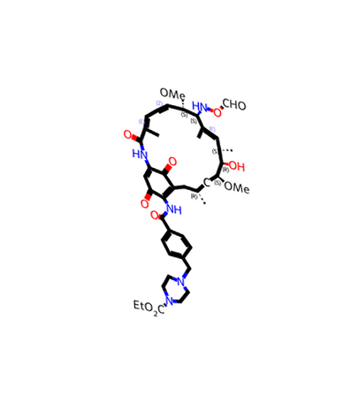 CCOC(=O)N1CCN(Cc2ccc(C(=O)NC3=C4C[C@@H](C)C[C@H](OC)[C@H](O)[C@@H](C)/C=C(\C)[C@H](NOC=O)[C@@H](OC)/C=C\C=C(/C)C(=O)NC(=CC3=O)C4=O)cc2)CC1